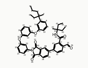 CCCC(C)(CC)c1cccc(Oc2cccc(Oc3cccc(N4C(=O)c5ccc(-c6ccc(C=O)c(C(=O)NC(C)(CC)CC)c6)cc5C4=O)c3)c2)c1